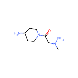 CN(N)CC(=O)N1CCC(N)CC1